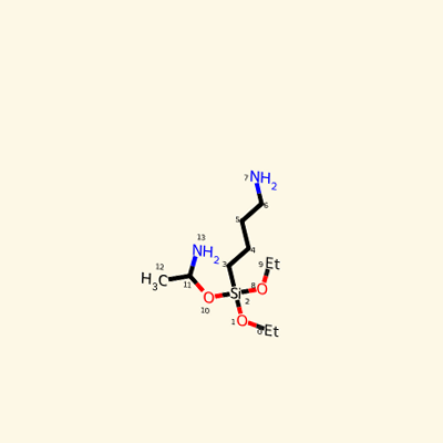 CCO[Si](CCCCN)(OCC)OC(C)N